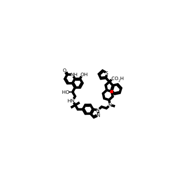 CN(CCn1ncc2cc(CC(C)(C)NC[C@@H](O)c3ccc(O)c4[nH]c(=O)ccc34)ccc21)C1CCC(CC(C(=O)O)(c2ccccc2)c2cccs2)CC1